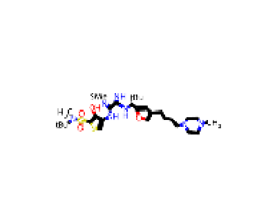 CS/N=C(/Nc1csc(S(=O)(=O)N(C)C(C)(C)C)c1O)C(=N)N[C@@H](c1cc(CCCCN2CCN(C)CC2)co1)C(C)(C)C